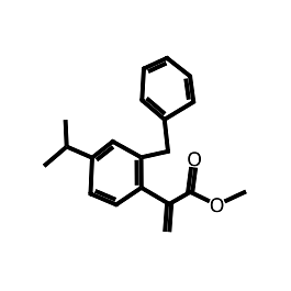 C=C(C(=O)OC)c1ccc(C(C)C)cc1Cc1ccccc1